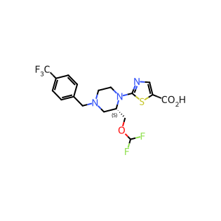 O=C(O)c1cnc(N2CCN(Cc3ccc(C(F)(F)F)cc3)C[C@H]2COC(F)F)s1